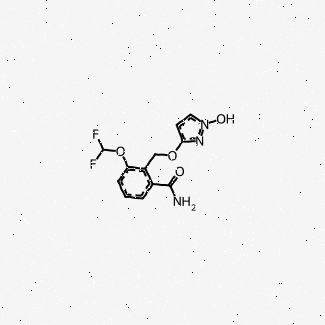 NC(=O)c1cccc(OC(F)F)c1COc1ccn(O)n1